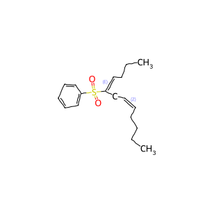 CCC/C=C(\C/C=C\CCCC)S(=O)(=O)c1ccccc1